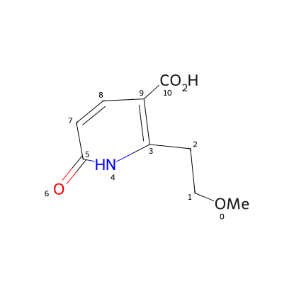 COCCc1[nH]c(=O)ccc1C(=O)O